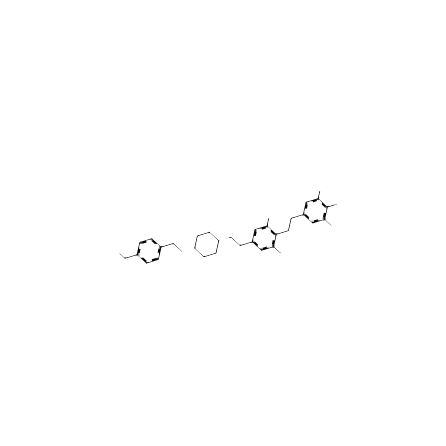 CCc1ccc(CC[C@H]2CC[C@H](CCc3cc(F)c(CCc4cc(F)c(Cl)c(F)c4)c(F)c3)CC2)cc1